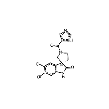 O=C(c1nnc[nH]1)N1CC[C@]2(C1)C(=O)Nc1cc(Cl)c(Cl)cc12